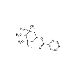 CN1C(C)(C)CC(OC(=O)c2ccccn2)CC1(C)C